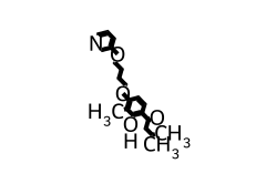 Cc1c(OCCCCOc2cccnc2)ccc(C(=O)CC(C)C)c1O